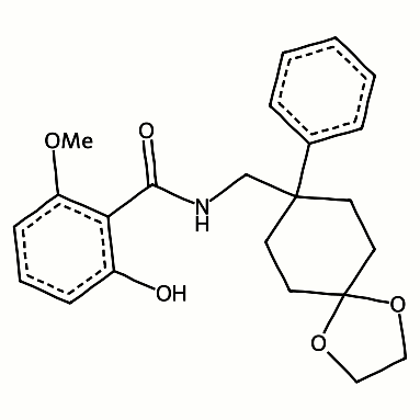 COc1cccc(O)c1C(=O)NCC1(c2ccccc2)CCC2(CC1)OCCO2